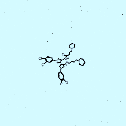 Clc1ccc(-n2ccc(NCCCCN3CCCCC3)n2)cc1Cl.O=C(CCCN1CCCCC1)Nc1ccn(-c2ccc(Cl)c(Cl)c2)n1